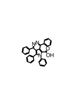 O=C(O)c1c2c(-c3ccccc3)nnc(-c3ccccc3)c2c(-c2ccccc2)n1-c1ccccc1